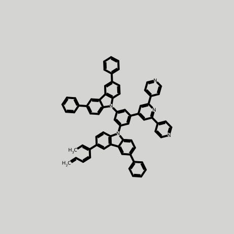 C=C/C=C\C(=C/C)c1ccc2c(c1)c1cc(-c3ccccc3)ccc1n2-c1cc(-c2cc(-c3ccncc3)nc(-c3ccncc3)c2)cc(-n2c3ccc(-c4ccccc4)cc3c3cc(-c4ccccc4)ccc32)c1